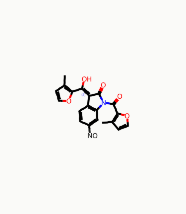 Cc1ccoc1C(=O)N1C(=O)/C(=C(\O)c2occc2C)c2ccc(N=O)cc21